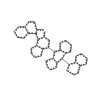 c1ccc2c(-c3c4ccccc4c(-c4cc5oc6ccc7ccccc7c6c5c5ccccc45)c4ccccc34)cccc2c1